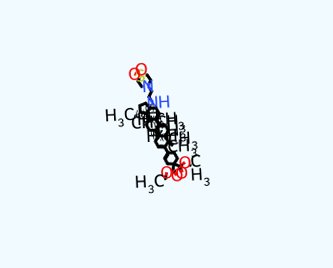 CCOC(=O)C1(C(=O)OCC)CC=C(C2=CC[C@]3(C)[C@H]4CC[C@@H]5[C@H]6[C@H](C(C)C)CC[C@]6(NCCN6CCS(=O)(=O)CC6)CC[C@@]5(C)[C@]4(C)CC[C@H]3C2(C)C)CC1